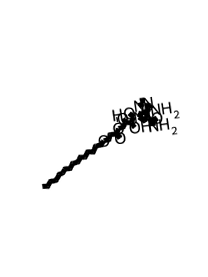 CCCCCCCCCCCCCCCCOCCC(=O)OCC(OC)C(O)C(O)n1cc(C(N)=O)c2c(N)nc(C)nc21